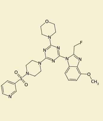 COc1cccc2c1nc(CF)n2-c1nc(N2CCOCC2)nc(N2CCN(S(=O)(=O)c3cccnc3)CC2)n1